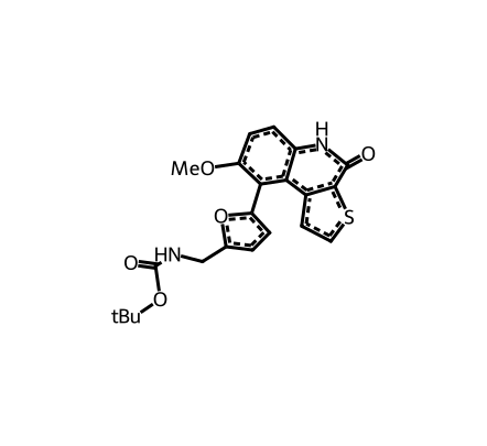 COc1ccc2[nH]c(=O)c3sccc3c2c1-c1ccc(CNC(=O)OC(C)(C)C)o1